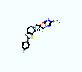 C[C@]1(CN2CCc3nc(-c4ccc(F)cc4)sc3C2)Cn2cc([N+](=O)[O-])nc2O1